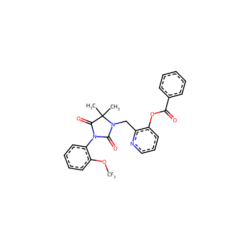 CC1(C)C(=O)N(c2ccccc2OC(F)(F)F)C(=O)N1Cc1ncccc1OC(=O)c1ccccc1